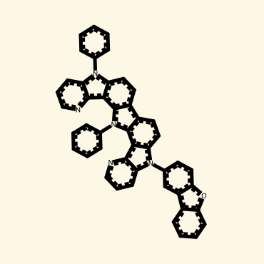 c1ccc(-n2c3cccnc3c3c2ccc2c4ccc5c(c6ncccc6n5-c5ccc6oc7ccccc7c6c5)c4n(-c4ccccc4)c23)cc1